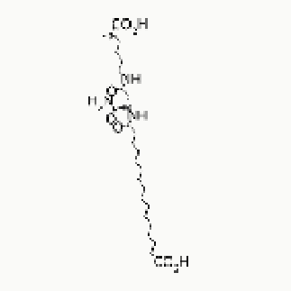 C[C@@H](CCCCNC(=O)C[C@H](NC(=O)CCCCCCCCCCCCCCC(=O)O)C(N)=O)C(=O)O